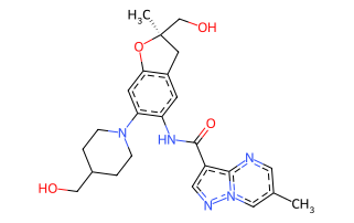 Cc1cnc2c(C(=O)Nc3cc4c(cc3N3CCC(CO)CC3)O[C@@](C)(CO)C4)cnn2c1